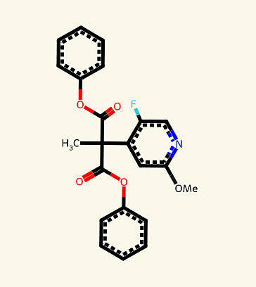 COc1cc(C(C)(C(=O)Oc2ccccc2)C(=O)Oc2ccccc2)c(F)cn1